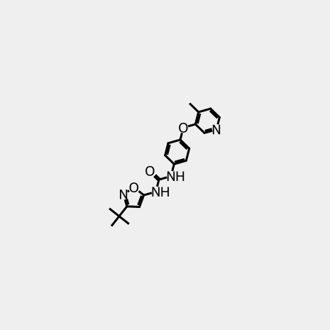 Cc1ccncc1Oc1ccc(NC(=O)Nc2cc(C(C)(C)C)no2)cc1